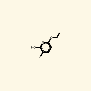 CCOc1ccc(Br)c(O)n1